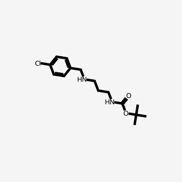 CC(C)(C)OC(=O)NCCCNCc1ccc(Cl)cc1